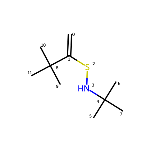 C=C(SNC(C)(C)C)C(C)(C)C